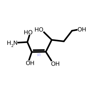 NC(O)/C(O)=C(/O)C(O)CCO